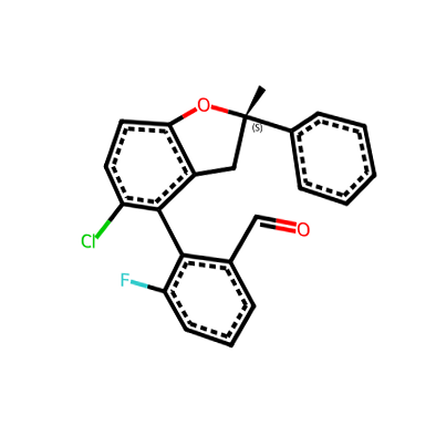 C[C@@]1(c2ccccc2)Cc2c(ccc(Cl)c2-c2c(F)cccc2C=O)O1